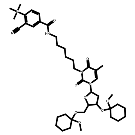 COC1(OCC2OC(n3cc(C)c(=O)n(CCCCCCNC(=O)c4ccc([N+](C)(C)C)c(C#N)c4)c3=O)CC2OC2(OC)CCCCC2)CCCCC1